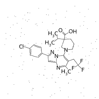 Cc1nc2cc(-c3ccc(Cl)cc3)nn2c(N2CCCC(C(=O)O)(C(C)C)C2)c1CC(F)(F)F